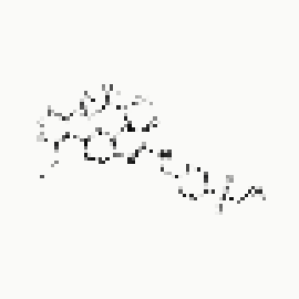 CCc1ncnc(C2CC2)c1-c1ncc2nc(NCc3ccc(S(=O)(=O)CC)cn3)c(=O)n([C@H](C)C(C)C)c2n1